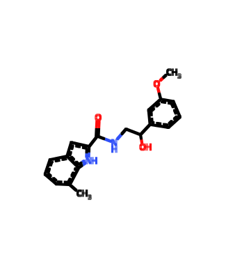 COc1cccc(C(O)CNC(=O)c2cc3cccc(C)c3[nH]2)c1